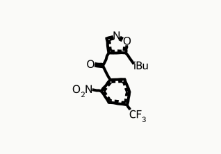 CCC(C)c1oncc1C(=O)c1ccc(C(F)(F)F)cc1[N+](=O)[O-]